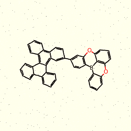 c1ccc2c(c1)Oc1cccc3c1B2c1ccc(-c2ccc4c5ccccc5c5c6ccccc6c6ccccc6c5c4c2)cc1O3